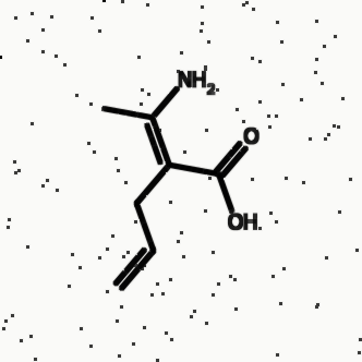 C=CC/C(C(=O)O)=C(\C)N